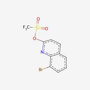 O=S(=O)(Oc1ccc2cccc(Br)c2n1)C(F)(F)F